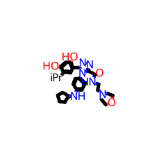 CC(C)c1cc(-c2nnc(C(=O)NCCN3CCOCC3)n2-c2ccc(NC3CCCC3)cc2)c(O)cc1O